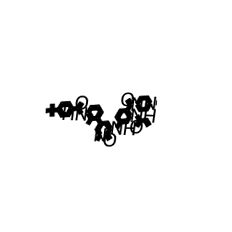 C=CC(=O)Nc1cc(Nc2cc(-c3cccc(NC(=O)c4ccc(C(C)(C)C)cc4)c3C)cn(C)c2=O)ccc1C(=O)N1CCN(C)CC1